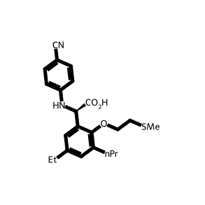 CCCc1cc(CC)cc([C@@H](Nc2ccc(C#N)cc2)C(=O)O)c1OCCSC